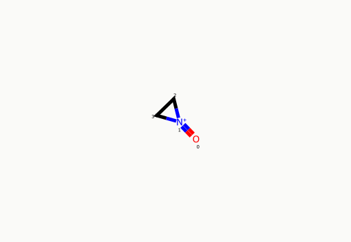 O=[N+]1CC1